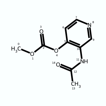 COC(=O)Oc1ccncc1NC(C)=O